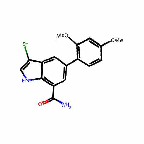 COc1ccc(-c2cc(C(N)=O)c3[nH]cc(Br)c3c2)c(OC)c1